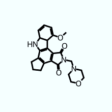 COC1=CC=CC2Nc3c4c(c5c(c3C12)C(=O)N(CN1CCOCC1)C5=O)CCC4